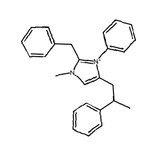 CC(Cc1cn(C)c(Cc2ccccc2)[n+]1-c1ccccc1)c1ccccc1